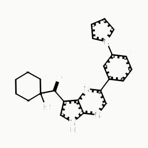 CCC1(C(=O)c2c[nH]c3ncc(-c4cccc(-n5cccc5)c4)nc23)CCCCC1